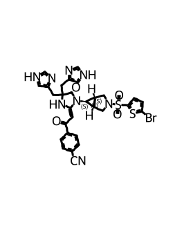 N#Cc1ccc(C(=O)C=C2NC(Cc3c[nH]cn3)(Cc3c[nH]cn3)C(=O)N2[C@H]2[C@@H]3CN(S(=O)(=O)c4ccc(Br)s4)C[C@@H]32)cc1